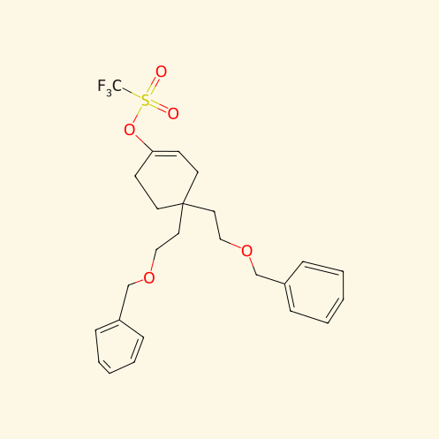 O=S(=O)(OC1=CCC(CCOCc2ccccc2)(CCOCc2ccccc2)CC1)C(F)(F)F